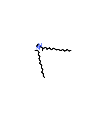 CCCCCCCCCCCCCC(C)c1nccn1C(C)CCCCCCCCCCCCC